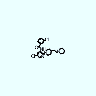 O=C(Nc1cc(Cl)cnc1N1CCC(CCN2CCCCC2)CC1)c1cccc(Cl)c1